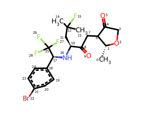 C[C@H]1OCC(=O)C1CC(=O)[C@H](CC(C)(C)F)N[C@@H](c1ccc(Br)cc1)C(F)(F)F